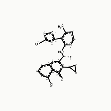 CC[C@@H](Nc1ncnc(N)c1-c1nc(C)no1)c1nc2cccc(Cl)c2c(=O)n1C1CC1